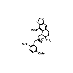 COc1ccc(OC)c(CC(=O)CC2c3c(cc4c(c3OC)OCO4)CC[N+]2(C)C)c1